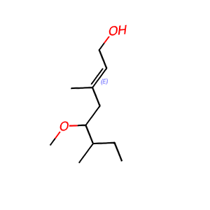 CCC(C)C(C/C(C)=C/CO)OC